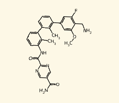 COc1cc(-c2cccc(-c3cccc(NC(=O)c4ncc(C(N)=O)cn4)c3C)c2C)cc(F)c1CN